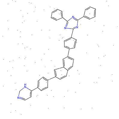 C1=NCNC(c2ccc(-c3ccc4ccc(-c5ccc(-c6nc(-c7ccccc7)nc(-c7ccccc7)n6)cc5)cc4c3)cc2)=C1